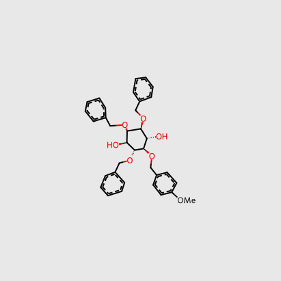 COc1ccc(CO[C@@H]2[C@@H](O)[C@H](OCc3ccccc3)[C@H](OCc3ccccc3)[C@H](O)[C@H]2OCc2ccccc2)cc1